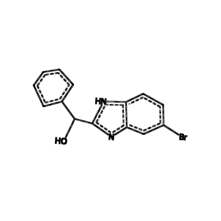 OC(c1ccccc1)c1nc2cc(Br)ccc2[nH]1